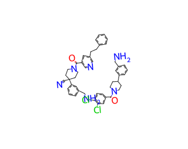 N#CC1(c2cccc(CN)c2)CCN(C(=O)c2cncc(CCc3ccccc3)c2)CC1.NCc1cccc(C2CCN(C(=O)c3ccc(Cl)c(Cl)c3)CC2)c1